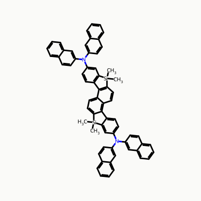 C[Si]1(C)c2cc(N(c3ccc4ccccc4c3)c3ccc4ccccc4c3)ccc2-c2c1ccc1c3c(ccc21)[Si](C)(C)c1cc(N(c2ccc4ccccc4c2)c2ccc4ccccc4c2)ccc1-3